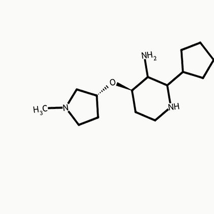 CN1CC[C@@H](O[C@@H]2CCNC(C3CCCC3)C2N)C1